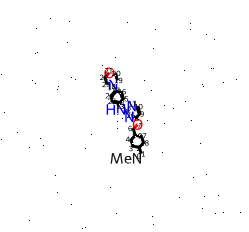 CNCC1CCC(COc2ccnc(Nc3ccc(N4CCOCC4)cc3)n2)CC1